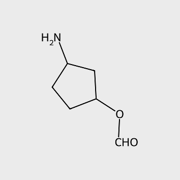 NC1CCC(OC=O)C1